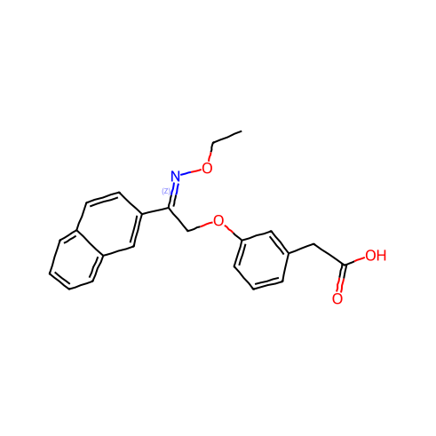 CCO/N=C(\COc1cccc(CC(=O)O)c1)c1ccc2ccccc2c1